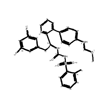 COCNc1ccc(-c2cccnc2[C@H](Cc2cc(F)cc(F)c2)NC(=O)NS(=O)(=O)c2ccccc2C)cc1